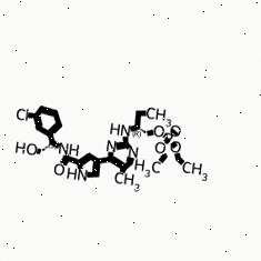 CCOP(=O)(OCC)OC[C@@H](CC)Nc1ncc(C)c(-c2c[nH]c(C(=O)N[C@H](CO)c3cccc(Cl)c3)c2)n1